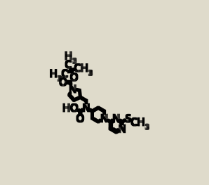 CSc1nccc(N2CCC(N(CC3CCN(C(=O)OC(C)(C)C)C3)C(=O)O)CC2)n1